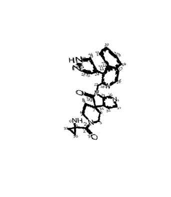 NC1(C(=O)N2CCC3(CC2)C(=O)N(Cc2ncc4ccccc4c2-c2cn[nH]c2)c2cnccc23)CC1